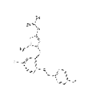 Cc1cc(OC(=O)O)cn1Cc1cc(Cl)ccc1OCc1ccc(F)cc1